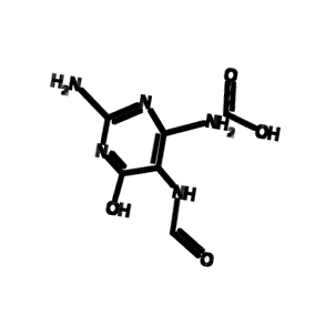 Nc1nc(N)c(NC=O)c(O)n1.O=CO